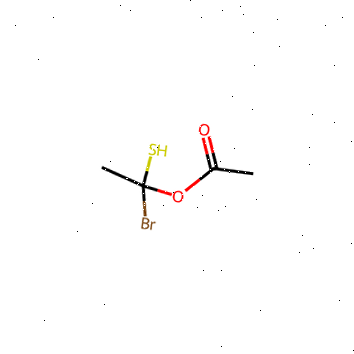 CC(=O)OC(C)(S)Br